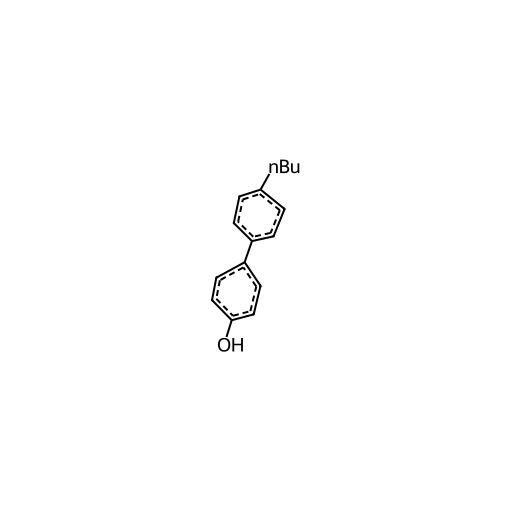 CCCCc1ccc(-c2ccc(O)cc2)cc1